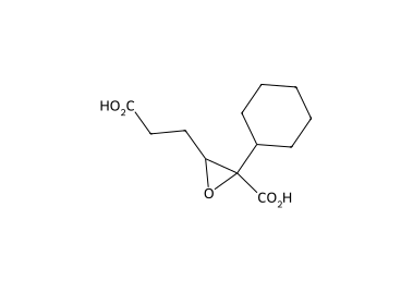 O=C(O)CCC1OC1(C(=O)O)C1CCCCC1